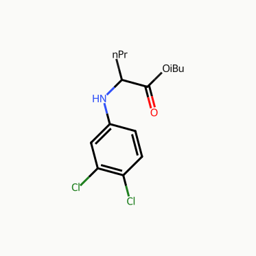 CCCC(Nc1ccc(Cl)c(Cl)c1)C(=O)OCC(C)C